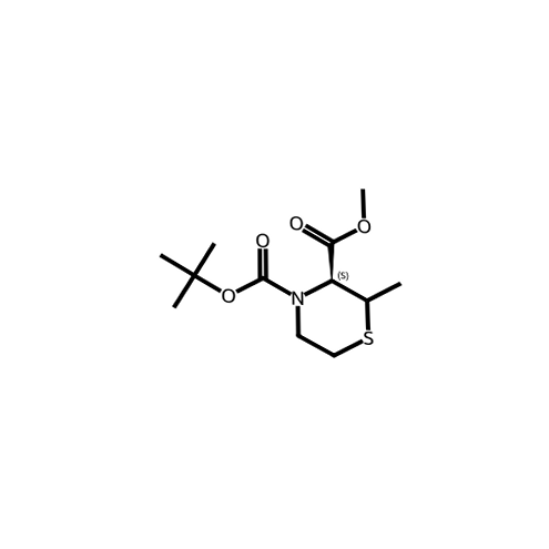 COC(=O)[C@H]1C(C)SCCN1C(=O)OC(C)(C)C